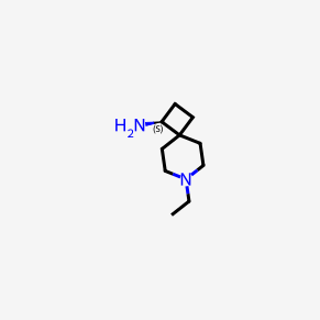 CCN1CCC2(CC[C@@H]2N)CC1